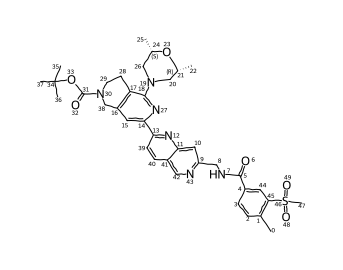 Cc1ccc(C(=O)NCc2cc3nc(-c4cc5c(c(N6C[C@@H](C)O[C@@H](C)C6)n4)CCN(C(=O)OC(C)(C)C)C5)ccc3cn2)cc1S(C)(=O)=O